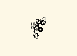 Cc1[nH]c(C(=O)NCN2CCOCC2)c(-c2ccccc2)c1-c1ccnc(Cl)c1